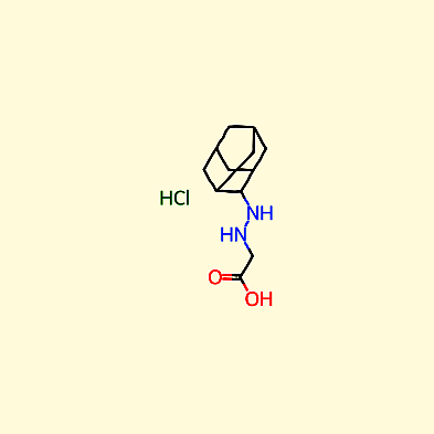 Cl.O=C(O)CNNC1C2CC3CC(C2)CC1C3